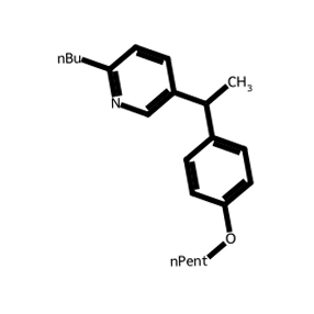 CCCCCOc1ccc(C(C)c2ccc(CCCC)nc2)cc1